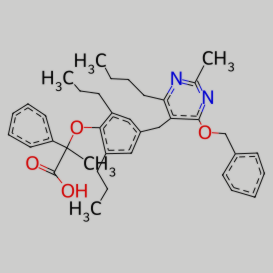 CCCCc1nc(C)nc(OCc2ccccc2)c1Cc1cc(CCC)c(OC(C)(C(=O)O)c2ccccc2)c(CCC)c1